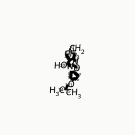 C=N/C=c1/nc(Oc2ccc(OCC(C)C)cc2)nc(O)/c1=C/C